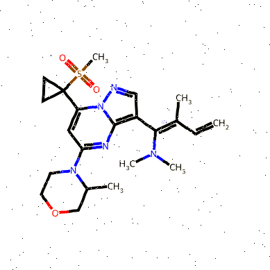 C=C/C(C)=C(/c1cnn2c(C3(S(C)(=O)=O)CC3)cc(N3CCOCC3C)nc12)N(C)C